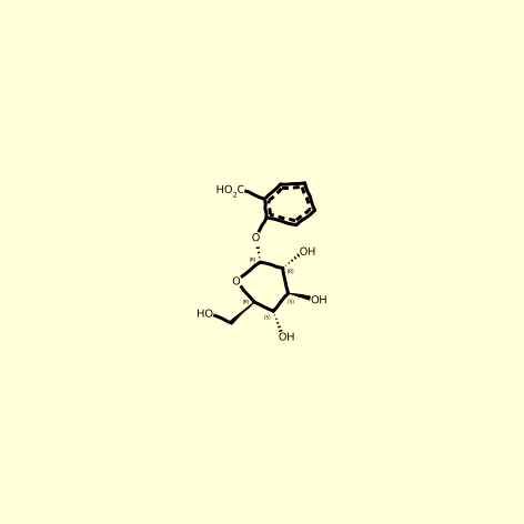 O=C(O)c1ccccc1O[C@H]1O[C@H](CO)[C@@H](O)[C@H](O)[C@H]1O